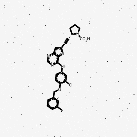 O=C(O)N1CCC[C@H]1C#Cc1cc2ncnc(Nc3ccc(OCc4cccc(F)c4)c(Cl)c3)c2s1